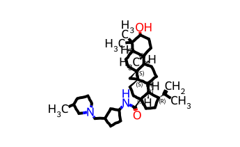 C=C(C)[C@@H]1CC[C@]2(C(=O)NC3CCC(CN4CCCC(C)C4)C3)CC[C@@]34C[C@]35CC[C@H]3C(C)(C)C(O)CC[C@]3(C)[C@H]5CC[C@@H]4[C@@H]12